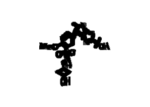 COc1ccc(-c2c(C)nc3sc(C(C)(C)O)nn23)cc1S(=O)(=O)NC[C@H]1C[C@@H](O)C1